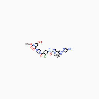 Cn1c(-c2cn(-c3ccc(N)cn3)nc2C(F)(F)F)cnc1C(=O)Nc1ccc(C(=O)N2CCN(C(=O)[C@@H]3C[C@@H](O)CN3C(=O)OC(C)(C)C)CC2)c(Cl)c1